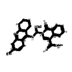 CCCCCCCCC(Nc1c2c(nc3cc(Cl)ccc13)CCCC2)n1cc(C(=O)OC)c2ccccc2c1=O